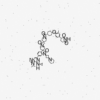 Cc1cc(C2CCC(=O)NC2=O)ccc1O[C@H]1CC[C@H](C(=O)N2CCC(C)(C(=O)N3CCC4(CC3)C(=O)N([C@H]3C[C@@H](N5CCCCC5)C3)c3cc(-c5cc6ncn(C(C)C)c6c(NC6CC6)n5)ccc34)CC2)CC1